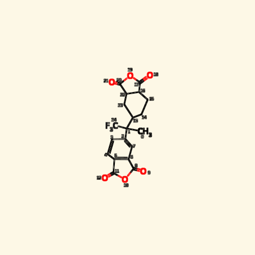 CC(c1ccc2c(c1)C(=O)OC2=O)(C1CCC2C(=O)OC(=O)C2C1)C(F)(F)F